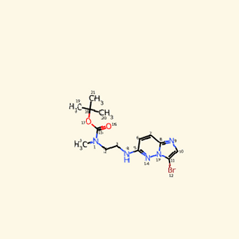 CN(CCNc1ccc2ncc(Br)n2n1)C(=O)OC(C)(C)C